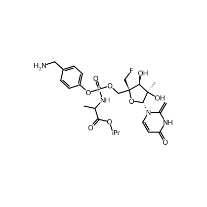 C=C1NC(=O)C=CN1[C@@H]1O[C@](CF)(COP(=O)(NC(C)C(=O)OC(C)C)Oc2ccc(CN)cc2)[C@@H](O)[C@@]1(C)O